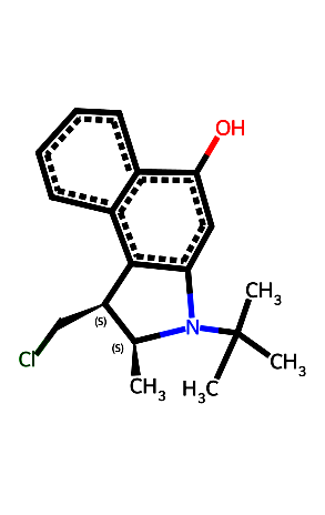 C[C@H]1[C@@H](CCl)c2c(cc(O)c3ccccc23)N1C(C)(C)C